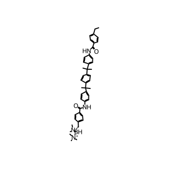 CCc1ccc(C(=O)Nc2ccc(C(C)(C)c3ccc(C(C)(C)c4ccc(NC(=O)c5ccc(C[N+](C)(C)B[N+](C)(C)C)cc5)cc4)cc3)cc2)cc1